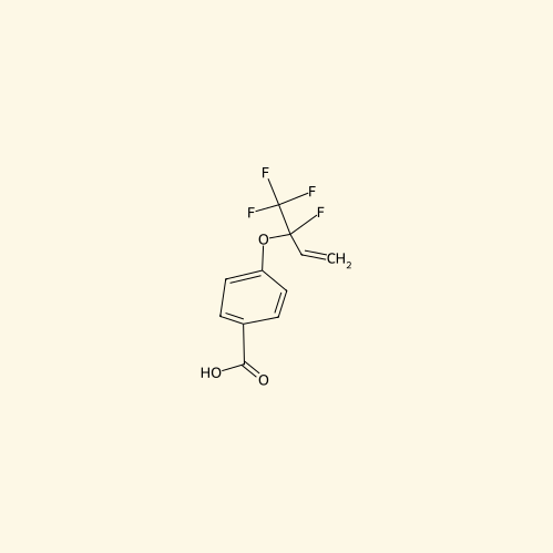 C=CC(F)(Oc1ccc(C(=O)O)cc1)C(F)(F)F